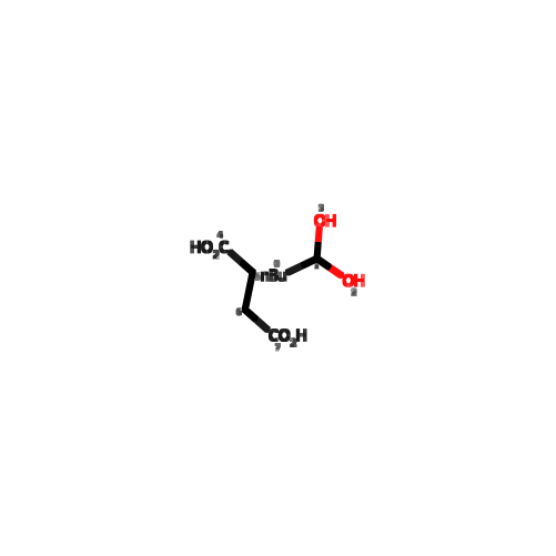 CCCCC(O)O.O=C(O)CCC(=O)O